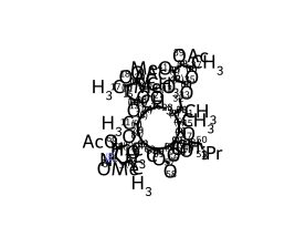 CO/N=C1\C[C@@H](C)O[C@@H](O[C@@H]2[C@@H](C)[C@H](O[C@H]3C[C@@](C)(OC(C)=O)[C@@H](OC(C)=O)[C@H](C)O3)[C@@H](C)C(=O)C[C@H]([C@@H](C)CO[C@@H]3O[C@H](C)[C@@H](OC(C)=O)[C@@H](OC)[C@H]3OC)[C@H](C)[C@@H](OC(=O)CC(C)C)[C@@H](C)[C@@]3(Cl)OC(=O)O[C@@]3(C)C[C@@H]2C)[C@@H]1OC(C)=O